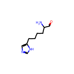 NC(C=O)CCCCc1cnc[nH]1